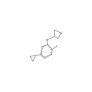 Ic1ccc(C2CC2)cc1OC1COC1